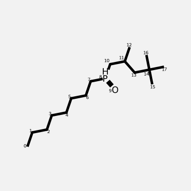 CCCCCCCC[PH](=O)CC(C)CC(C)(C)C